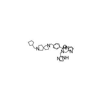 O=C(c1ccc(CN2CCC3(CCN(CC4CCCC4)CC3)C2)cc1)N(Cc1ncc[nH]1)Cc1ncc[nH]1